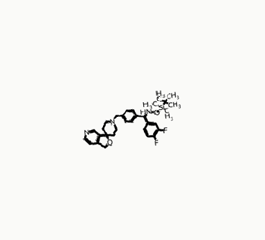 CC(C)(C)[Si](C)(C)ONC(c1ccc(CN2CCC3(CC2)OCc2ccncc23)cc1)c1ccc(F)c(F)c1